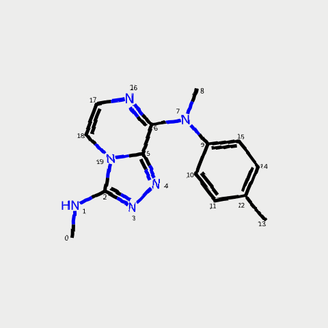 CNc1nnc2c(N(C)c3ccc(C)cc3)nccn12